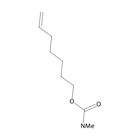 C=CCCCCCOC(=O)NC